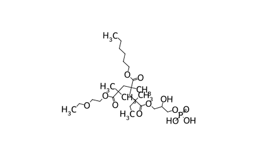 CCCCCCOC(=O)C(C)(CC(C)(C)C(=O)OCCOCC)CC(C)(CC)C(=O)OCC(O)COP(=O)(O)O